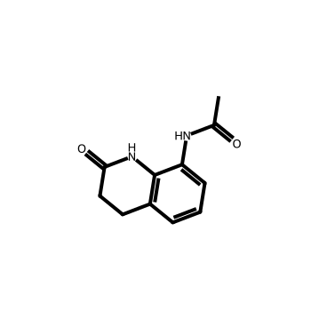 CC(=O)Nc1cccc2c1NC(=O)CC2